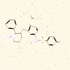 Cc1ccc(S(=O)(=O)N(C)c2ccc(OC(C)C)c(CC3CCCN(N)C3c3ccccc3)c2)cc1.Cl.Cl